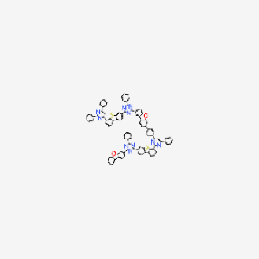 C1=c2c(sc3cc(-c4nc(-c5ccccc5)nc(-c5ccc6c(c5)oc5ccccc56)n4)ccc23)=C(c2nc(-c3ccccc3)cc(-c3ccc(-c4ccc5c(c4)oc4ccc(-c6nc(-c7ccccc7)nc(-c7ccc8c(c7)sc7c(-c9cc(-c%10ccccc%10)nc(-c%10ccccc%10)n9)cccc78)n6)cc45)cc3)n2)CC1